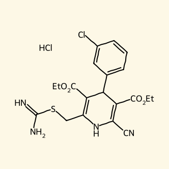 CCOC(=O)C1=C(C#N)NC(CSC(=N)N)=C(C(=O)OCC)C1c1cccc(Cl)c1.Cl